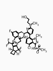 CN(CCO)c1ccc(-c2ccc(Cl)c3c(NS(C)(=O)=O)nn(C)c23)c([C@H](Cc2cc(F)cc(F)c2)NC(=O)Cn2nc(C(F)F)c3c2C(F)(F)[C@@H]2CC[C@H]32)n1